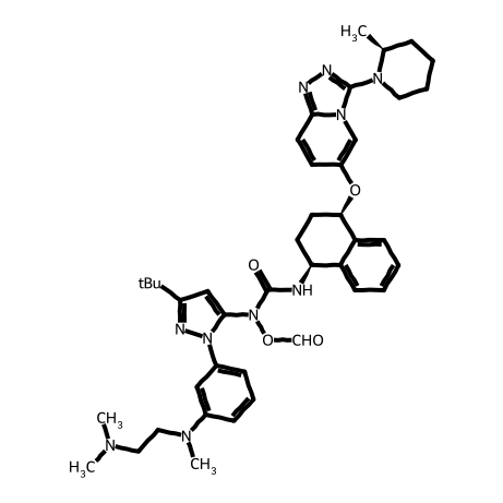 C[C@H]1CCCCN1c1nnc2ccc(O[C@@H]3CC[C@H](NC(=O)N(OC=O)c4cc(C(C)(C)C)nn4-c4cccc(N(C)CCN(C)C)c4)c4ccccc43)cn12